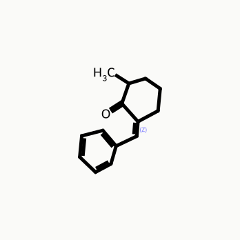 CC1CCC/C(=C/c2ccccc2)C1=O